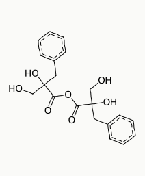 O=C(OC(=O)C(O)(CO)Cc1ccccc1)C(O)(CO)Cc1ccccc1